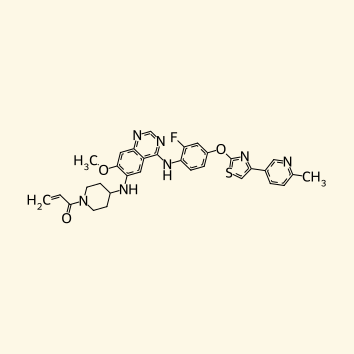 C=CC(=O)N1CCC(Nc2cc3c(Nc4ccc(Oc5nc(-c6ccc(C)nc6)cs5)cc4F)ncnc3cc2OC)CC1